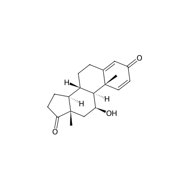 C[C@]12C=CC(=O)C=C1CC[C@@H]1[C@@H]2[C@@H](O)C[C@]2(C)C(=O)CC[C@@H]12